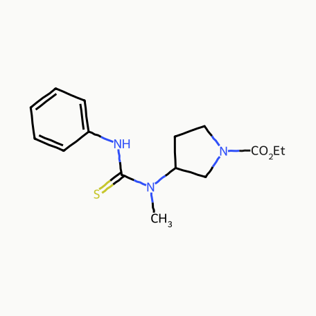 CCOC(=O)N1CCC(N(C)C(=S)Nc2ccccc2)C1